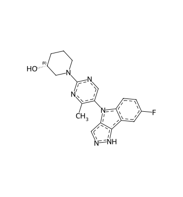 Cc1nc(N2CCC[C@@H](O)C2)ncc1-n1c2ccc(F)cc2c2[nH]ncc21